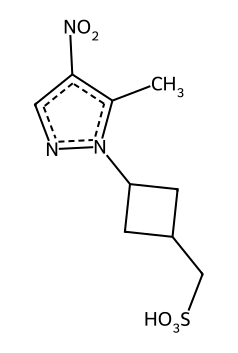 Cc1c([N+](=O)[O-])cnn1C1CC(CS(=O)(=O)O)C1